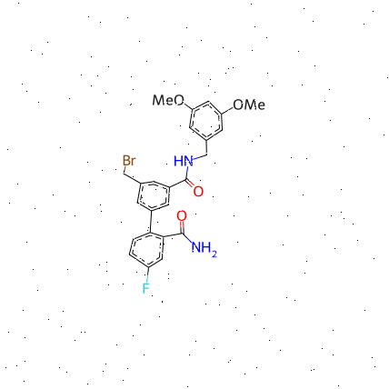 COc1cc(CNC(=O)c2cc(CBr)cc(-c3ccc(F)cc3C(N)=O)c2)cc(OC)c1